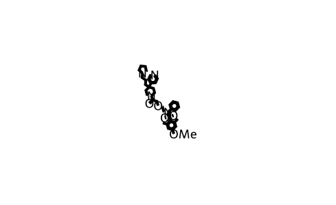 COc1cc(C)c(S(=O)(=O)N(CCOCC(=O)N2CCC(CCCN3CCCC3)(c3ccncc3)CC2)c2ccccc2)c(C)c1